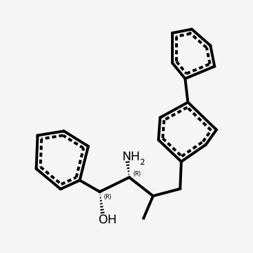 CC(Cc1ccc(-c2ccccc2)cc1)[C@@H](N)[C@H](O)c1ccccc1